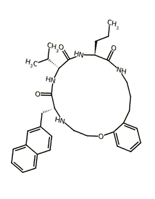 CCC[C@@H]1NC(=O)[C@@H](C(C)C)NC(=O)[C@@H](Cc2ccc3ccccc3c2)NCCOc2ccccc2CCCNC1=O